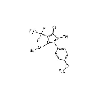 CCOCn1c(-c2ccc(OC(F)(F)F)cc2)c(C#N)c(Cl)c1C(F)(F)C(F)(F)F